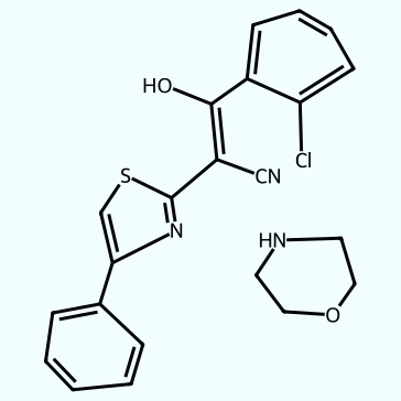 C1COCCN1.N#CC(=C(O)c1ccccc1Cl)c1nc(-c2ccccc2)cs1